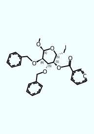 CO[C@H]1O[C@H](CI)[C@@H](OC(=O)c2ccccc2)[C@H](OCc2ccccc2)[C@H]1OCc1ccccc1